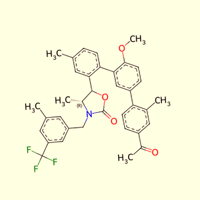 COc1ccc(-c2ccc(C(C)=O)cc2C)cc1-c1ccc(C)cc1C1OC(=O)N(Cc2cc(C)cc(C(F)(F)F)c2)[C@@H]1C